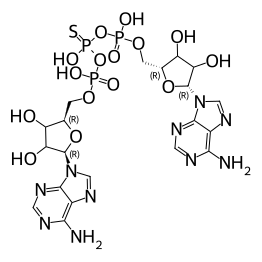 Nc1ncnc2c1ncn2[C@@H]1O[C@H](COP(=O)(O)OP(O)(=S)OP(=O)(O)OC[C@H]2O[C@@H](n3cnc4c(N)ncnc43)C(O)C2O)C(O)C1O